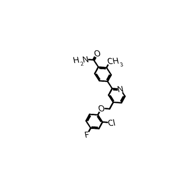 Cc1cc(-c2cc(COc3ccc(F)cc3Cl)ccn2)ccc1C(N)=O